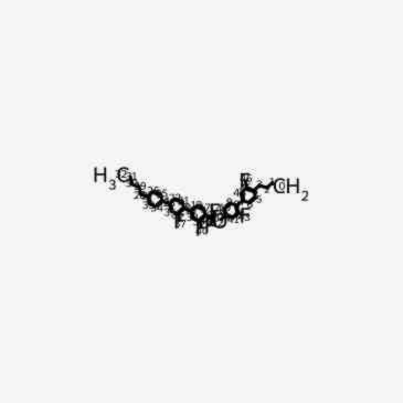 C=CCCc1ccc(-c2ccc(OC(F)(F)c3ccc(-c4ccc(-c5ccc(CCCCC)cc5)cc4F)cc3F)cc2F)cc1F